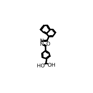 OC(O)c1ccc(-c2nnc(-c3cccc4ccccc34)o2)cc1